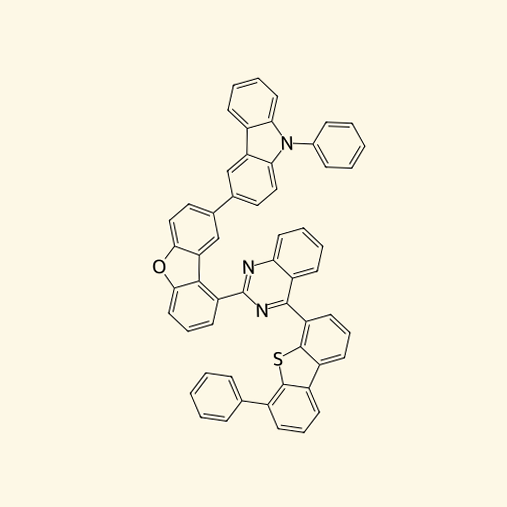 c1ccc(-c2cccc3c2sc2c(-c4nc(-c5cccc6oc7ccc(-c8ccc9c(c8)c8ccccc8n9-c8ccccc8)cc7c56)nc5ccccc45)cccc23)cc1